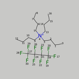 CCCC[N+](CCCC)(CCCC)CCCC.FC(F)(F)C(F)(F)C(F)(F)C(F)(F)F